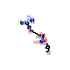 Cc1ncsc1-c1ccc([C@H](C)NC(=O)[C@@H]2C[C@@H](O)CN2C(=O)[C@@H](NC(=O)CCCCCCC(=O)N2CCC(c3cc(Nc4cnccn4)nc(N4CCC(F)(F)C4)c3)CC2)C(C)(C)C)cc1